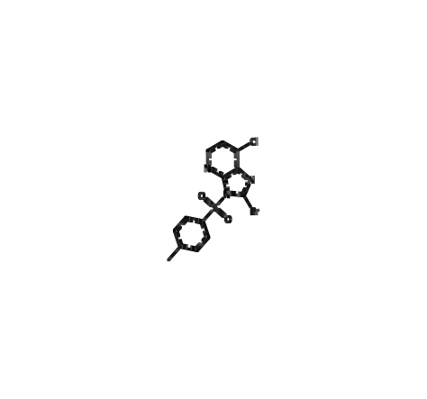 Cc1ccc(S(=O)(=O)n2c(Br)nc3c(Cl)ccnc32)cc1